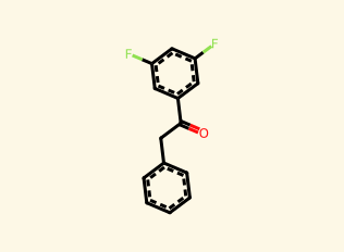 O=C(Cc1ccccc1)c1cc(F)cc(F)c1